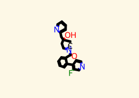 O=C(c1ccccc1-c1ccncc1F)N1CCC(O)(Cc2ccccn2)CC1